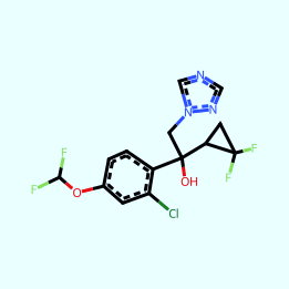 OC(Cn1cncn1)(c1ccc(OC(F)F)cc1Cl)C1CC1(F)F